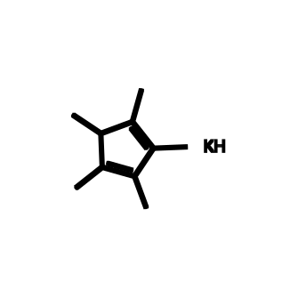 CC1=C(C)C(C)C(C)=C1C.[KH]